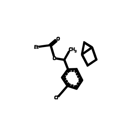 C1CC2CC12.CCC(=O)OC(C)c1cccc(Cl)c1